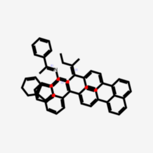 CC\C(C)=C(/N=C(\N=C(/C)c1ccccc1)c1ccccc1)c1ccc(-c2cccc3cccc(-c4ccc(-c5ccc6c7c(cccc57)C5=C6C=CCC5)cc4)c23)cc1